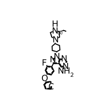 CC[C@H]1CN([C@H]2CC[C@@H](n3nc(-c4ccc(Oc5ccccc5)cc4F)c4c(N)ncnc43)CC2)CCN1